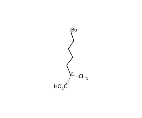 C[C@@H](CCCCC(C)(C)C)C(=O)O